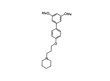 COc1cc(OC)cc(-c2ccc(OCCCN3CCCCC3)cc2)c1